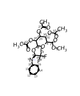 COC(=O)C1O[C@@H](O/C(=N/c2ccccc2)C(F)(F)F)C(OC(C)=O)[C@@H](OC(C)=O)[C@@H]1OC(C)=O